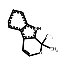 CC1(C)OC=Cc2c1[nH]c1ccccc21